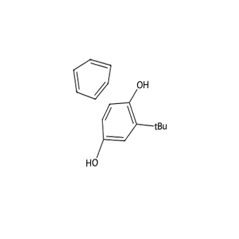 CC(C)(C)c1cc(O)ccc1O.c1ccccc1